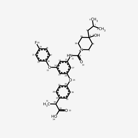 CC(C)CC1(O)CCN(C(=O)Nc2cc(Oc3ccc(F)cc3)cc(Oc3ccc(C(C)C(=O)O)cc3)c2)CC1